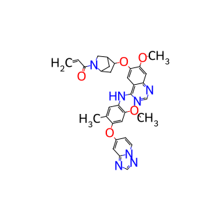 C=CC(=O)N1CC2CC1CC2Oc1cc2c(Nc3cc(C)c(Oc4ccn5ncnc5c4)cc3OC)ncnc2cc1OC